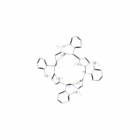 Nc1ccccc1/C1=C2\C=CC(N2)[C@@H](c2ccccc2N)C2=N/C(=C(/c3ccccc3N)c3ccc([nH]3)/C(c3ccccc3N)=C3/C=CC1=N3)C=C2